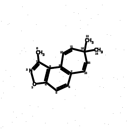 Cc1noc2ccc3c(c12)C=CC(C)(C)C=C3